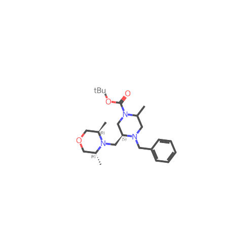 CC1CN(Cc2ccccc2)[C@@H](CN2[C@H](C)COC[C@H]2C)CN1C(=O)OC(C)(C)C